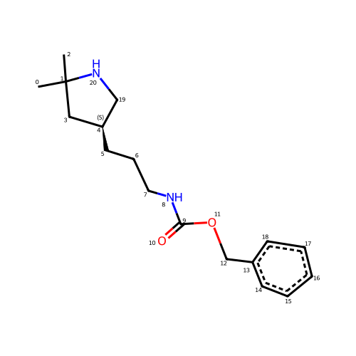 CC1(C)C[C@H](CCCNC(=O)OCc2ccccc2)CN1